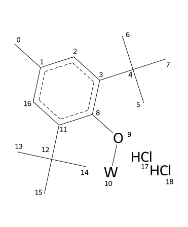 Cc1cc(C(C)(C)C)c([O][W])c(C(C)(C)C)c1.Cl.Cl